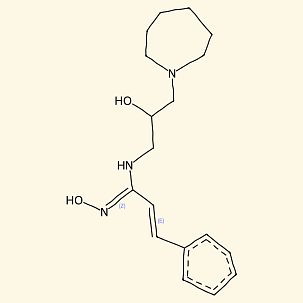 O/N=C(/C=C/c1ccccc1)NCC(O)CN1CCCCCC1